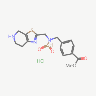 COC(=O)c1ccc(CN(Cc2nc3c(s2)CNCC3)[SH](=O)=O)cc1.Cl